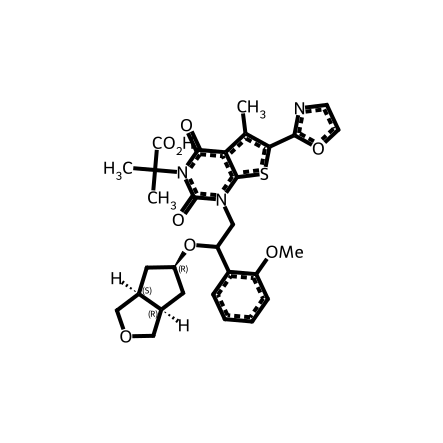 COc1ccccc1C(Cn1c(=O)n(C(C)(C)C(=O)O)c(=O)c2c(C)c(-c3ncco3)sc21)O[C@H]1C[C@H]2COC[C@H]2C1